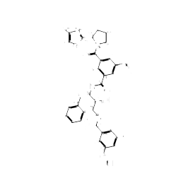 COc1cc(C(=O)N[C@@H](Cc2ccccc2)[C@@H](O)CN[C@@H](C)c2cccc(OC)c2)cc(C(=O)N2CCC[C@@H]2c2nc(C)cs2)c1